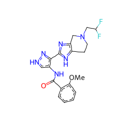 COc1ccccc1C(=O)Nc1c[nH]nc1-c1nc2c([nH]1)CCN(CC(F)F)C2